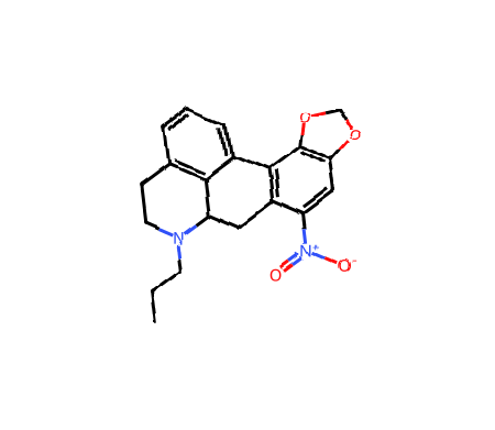 CCCN1CCc2cccc3c2C1Cc1c([N+](=O)[O-])cc2c(c1-3)OCO2